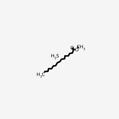 CCCCCCCCCCCCCCCC(=O)OC.S